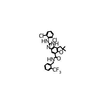 CC1(C)Cc2c(c(C(=O)NCc3ccccc3C(F)(F)F)cc3nc(Nc4c(Cl)cccc4Cl)[nH]c23)O1